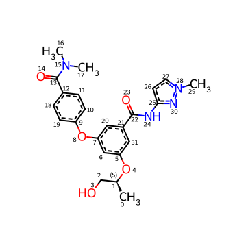 C[C@@H](CO)Oc1cc(Oc2ccc(C(=O)N(C)C)cc2)cc(C(=O)Nc2ccn(C)n2)c1